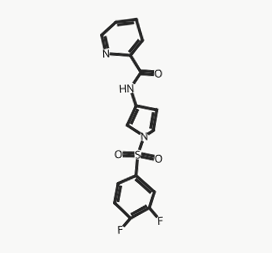 O=C(Nc1ccn(S(=O)(=O)c2ccc(F)c(F)c2)c1)c1ccccn1